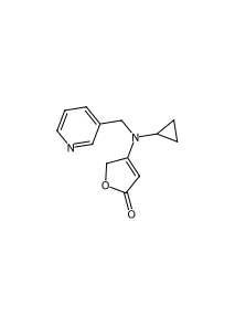 O=C1C=C(N(Cc2cccnc2)C2CC2)CO1